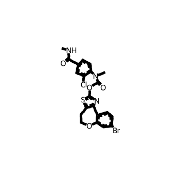 CNC(=O)c1ccc(N(C)C(=O)Oc2nc3c(s2)CCOc2cc(Br)ccc2-3)c(Cl)c1